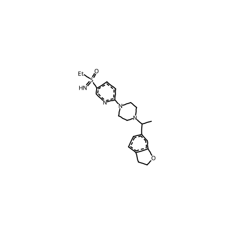 CCS(=N)(=O)c1ccc(N2CCN(C(C)c3ccc4c(c3)OCC4)CC2)nc1